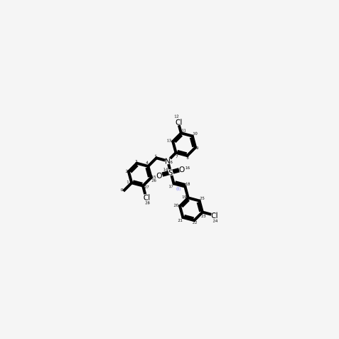 Cc1ccc(CN(c2cccc(Cl)c2)S(=O)(=O)/C=C/c2cccc(Cl)c2)cc1Cl